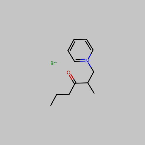 CCCC(=O)C(C)C[n+]1ccccc1.[Br-]